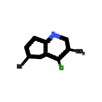 CCc1ccc2ncc([N+](=O)[O-])c(Cl)c2c1